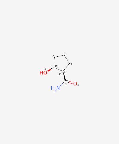 NC(=O)[C@@H]1CCC[C@@H]1O